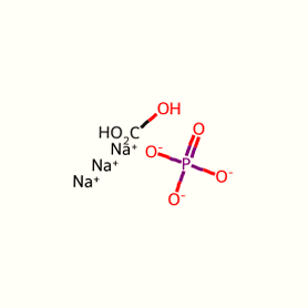 O=C(O)O.O=P([O-])([O-])[O-].[Na+].[Na+].[Na+]